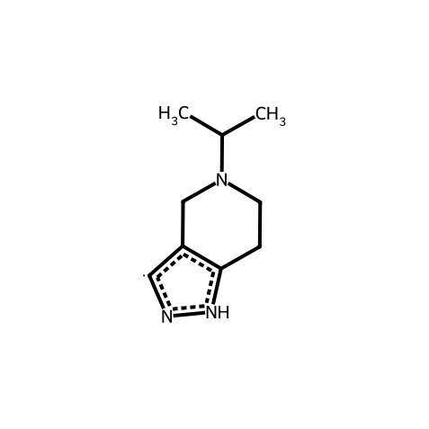 CC(C)N1CCc2[nH]n[c]c2C1